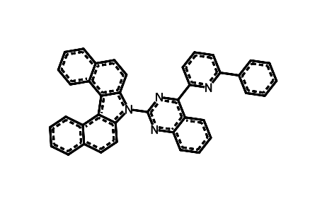 c1ccc(-c2cccc(-c3nc(-n4c5ccc6ccccc6c5c5c6ccccc6ccc54)nc4ccccc34)n2)cc1